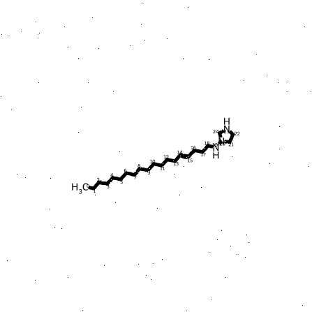 CCCCCCCCCCCCCCC=C[CH]CCNN1CCNC1